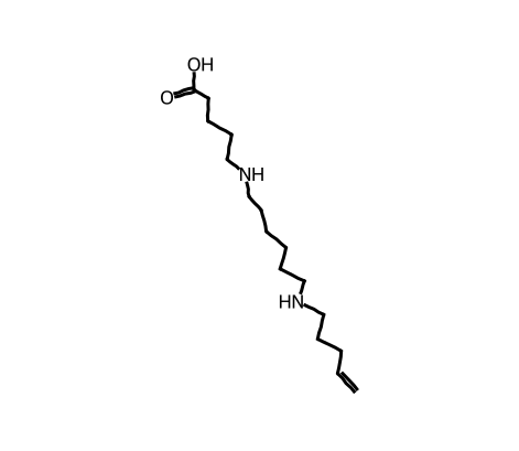 C=CCCCNCCCCCCNCCCCC(=O)O